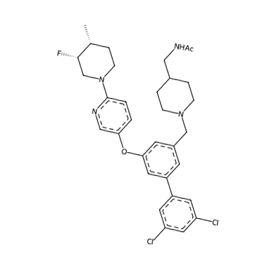 CC(=O)NCC1CCN(Cc2cc(Oc3ccc(N4CC[C@@H](C)[C@@H](F)C4)nc3)cc(-c3cc(Cl)cc(Cl)c3)c2)CC1